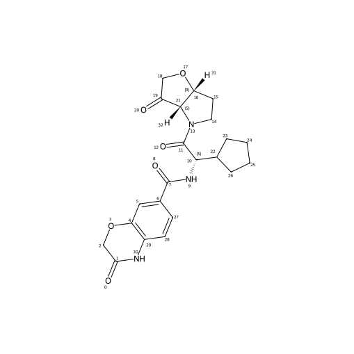 O=C1COc2cc(C(=O)N[C@H](C(=O)N3CC[C@H]4OCC(=O)[C@H]43)C3CCCC3)ccc2N1